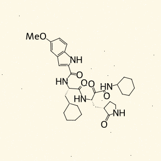 COc1ccc2[nH]c(C(=O)N[C@@H](CC3CCCCC3)C(=O)N[C@@H](C[C@@H]3CCNC3=O)C(=O)C(=O)NC3CCCCC3)cc2c1